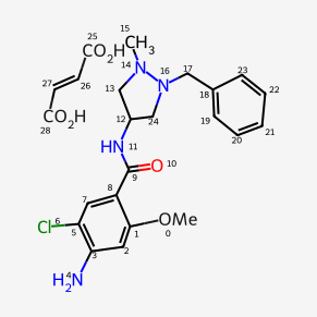 COc1cc(N)c(Cl)cc1C(=O)NC1CN(C)N(Cc2ccccc2)C1.O=C(O)C=CC(=O)O